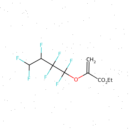 C=C(OC(F)(F)C(F)(F)C(F)C(F)F)C(=O)OCC